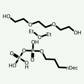 CCCCCCCCCCCCCOP(=O)(O)OP(=O)(O)O.CCOCC.OCCOCCOCCO